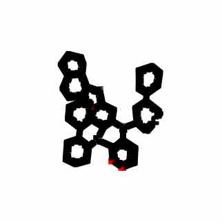 c1ccc(-c2cccc(N(c3ccccc3)c3cc4sc5c6ccccc6ccc5c4cc3N(c3ccccc3)c3ccccc3-c3ccccc3)c2)cc1